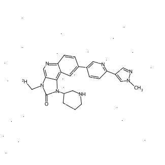 [2H]Cn1c(=O)n(C2CCCNC2)c2c3cc(-c4ccc(-c5cnn(C)c5)nc4)ccc3ncc21